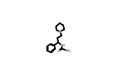 NC(=O)NC(CCN1CCCCC1)c1ccccc1